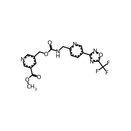 COC(=O)c1cncc(COC(=O)NCc2ccc(-c3noc(C(F)(F)F)n3)cn2)c1